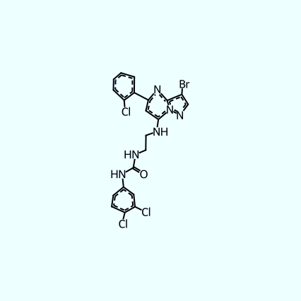 O=C(NCCNc1cc(-c2ccccc2Cl)nc2c(Br)cnn12)Nc1ccc(Cl)c(Cl)c1